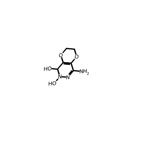 NC1=NN(O)C(O)C2=C1OCCO2